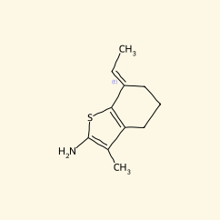 C/C=C1\CCCc2c1sc(N)c2C